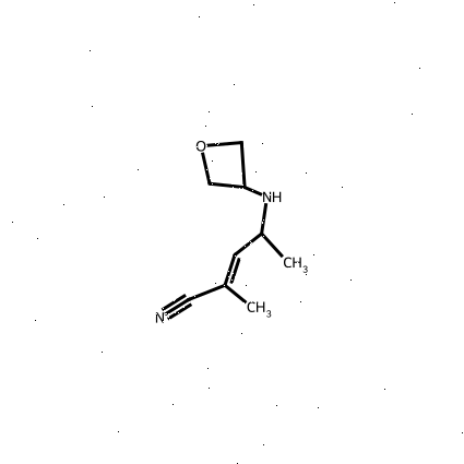 C/C(C#N)=C\C(C)NC1COC1